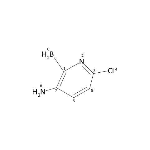 Bc1nc(Cl)ccc1N